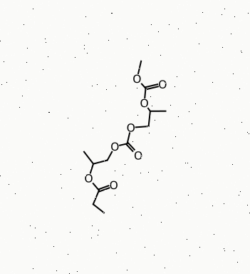 CCC(=O)OC(C)COC(=O)OCC(C)OC(=O)OC